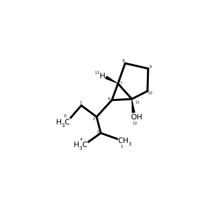 CCC(C(C)C)C1[C@@H]2CCC[C@]12O